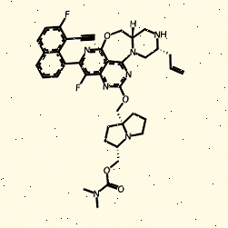 C#Cc1c(F)ccc2cccc(-c3nc4c5c(nc(OC[C@]67CCCN6[C@H](COC(=O)N(C)C)CC7)nc5c3F)N3C[C@@H](CC=C)NC[C@H]3CO4)c12